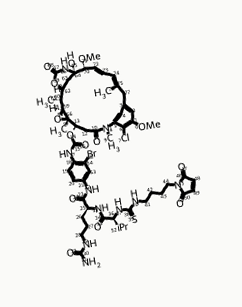 COc1cc2cc(c1Cl)N(C)C(=O)C[C@H](OC(=O)Nc1ccc(NC(=O)[C@H](CCCNC(N)=O)NC(=O)[C@@H](NC(=S)NCCCCN3C(=O)C=CC3=O)C(C)C)cc1Br)[C@]1(C)O[C@H]1[C@H](C)[C@@H]1C[C@@](O)(NC(=O)O1)[C@H](OC)/C=C/C=C(\C)C2